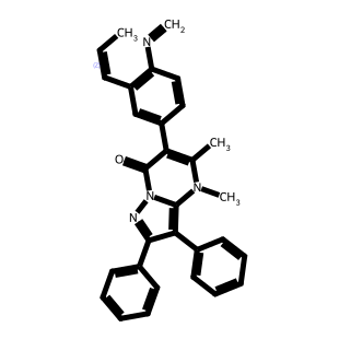 C=Nc1ccc(-c2c(C)n(C)c3c(-c4ccccc4)c(-c4ccccc4)nn3c2=O)cc1/C=C\C